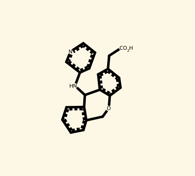 O=C(O)Cc1ccc2c(c1)C(Nc1cccnc1)c1ccccc1CO2